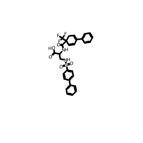 O=C(O)C(CNS(=O)(=O)c1ccc(-c2ccccc2)cc1)NC(=O)C1(C(F)(F)F)C=CC(c2ccccc2)=CC1